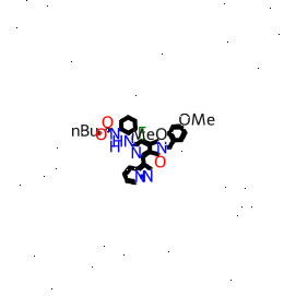 CCCCOC(=O)N[C@H]1CCCC[C@H]1Nc1nc(-c2cnn3ccccc23)c2c(c1F)CN(Cc1ccc(OC)cc1OC)C2=O